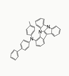 Cc1ccc(N(c2ccc(-c3ccccc3)cc2)c2cccc3c4c5ccccc5n5c6ccccc6n(c23)c45)cc1